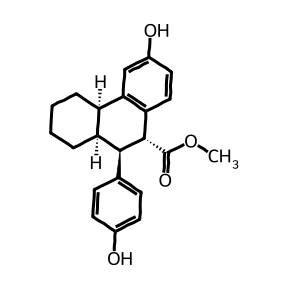 COC(=O)[C@H]1c2ccc(O)cc2[C@@H]2CCCC[C@@H]2[C@@H]1c1ccc(O)cc1